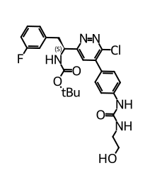 CC(C)(C)OC(=O)N[C@@H](Cc1cccc(F)c1)c1cc(-c2ccc(NC(=O)NCCO)cc2)c(Cl)nn1